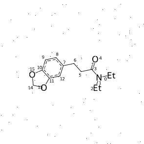 CCN(CC)C(=O)CCc1ccc2c(c1)OCO2